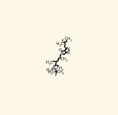 C=CC(=C\N(C)CC(C)(C)F)/C(=C/C=C(\C)CN1Cc2ncnc(CCC(C)(F)CC)c2C1=O)CC